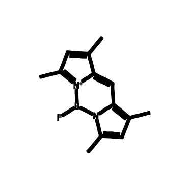 CC1=CC(C)=[N+]2B(F)n3c(C)cc(C)c3C=C12